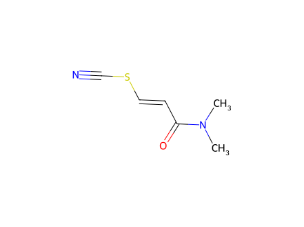 CN(C)C(=O)C=CSC#N